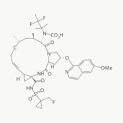 COc1ccc2c(O[C@@H]3C[C@H]4C(=O)N[C@]5(C(=O)NS(=O)(=O)C6(CF)CC6)C[C@H]5C=CCC[C@H](C)C[C@@H](C)[C@H](N(C(=O)O)C(C)(C)C(C)(F)F)C(=O)N4C3)nccc2c1